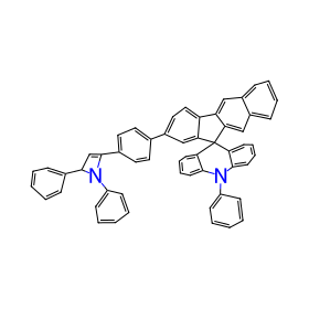 C1=C(c2ccc(-c3ccc4c(c3)C3(c5cc6ccccc6cc5-4)c4ccccc4N(c4ccccc4)c4ccccc43)cc2)N(c2ccccc2)C1c1ccccc1